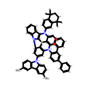 CC(C)(C)c1ccc2c(c1)c1cc(C(C)(C)C)ccc1n2-c1cc2c3c(c1)-n1c4c(c5ccccc51)N(c1ccc5c(c1)C(C)(C)CCC5(C)C)c1cccc(c1B34)N2c1ccc(-c2ccccc2)cc1-c1ccccc1